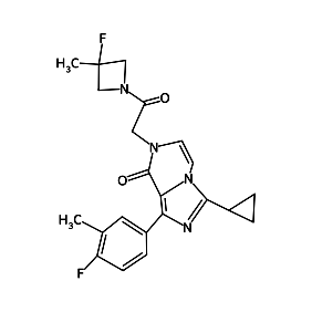 Cc1cc(-c2nc(C3CC3)n3ccn(CC(=O)N4CC(C)(F)C4)c(=O)c23)ccc1F